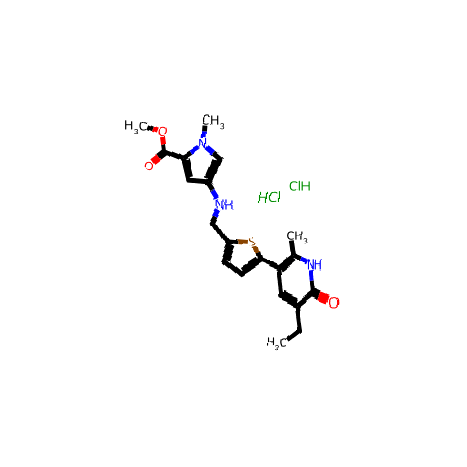 CCc1cc(-c2ccc(CNc3cc(C(=O)OC)n(C)c3)s2)c(C)[nH]c1=O.Cl.Cl